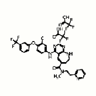 CN(CCc1ccccn1)C(=O)C1=Cc2c(ncnc2Nc2ccc(Oc3cccc(C(F)(F)F)c3)c(Cl)c2)NCC1.O=C(O)C(F)(F)F.O=C(O)C(F)(F)F